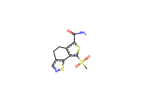 CS(=O)(=O)c1sc(C(N)=O)c2c1-c1sncc1CC2